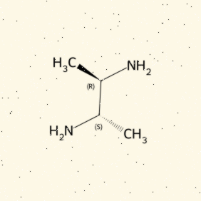 C[C@H](N)[C@@H](C)N